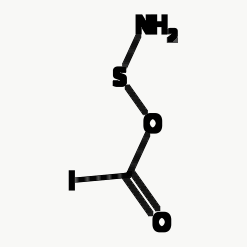 NSOC(=O)I